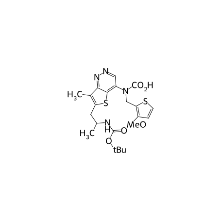 COc1ccsc1CN(C(=O)O)c1cnnc2c(C)c(CC(C)NC(=O)OC(C)(C)C)sc12